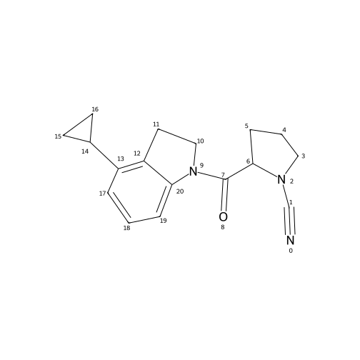 N#CN1CCCC1C(=O)N1CCc2c(C3CC3)cccc21